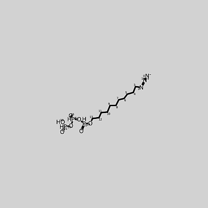 [N-]=[N+]=NCCCCCCCCCCCO[PH](=O)O[PH](=O)O[PH](=O)O